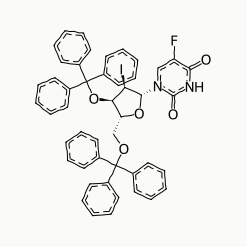 O=c1[nH]c(=O)n([C@@H]2O[C@H](COC(c3ccccc3)(c3ccccc3)c3ccccc3)[C@@H](OC(c3ccccc3)(c3ccccc3)c3ccccc3)[C@H]2I)cc1F